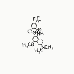 COc1ccc(NS(=O)(=O)c2cc(C(F)(F)F)ccc2Cl)c2c1C[C@@H](N(C)C)CC2